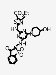 CCOC(=O)c1sc(Nc2nc(NCN3C(=O)c4ccccc4S3(=O)=O)cc(N3CCC(O)CC3)n2)nc1C